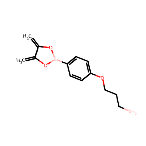 BCCCOc1ccc(B2OC(=C)C(=C)O2)cc1